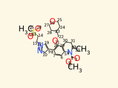 COC(=O)N1c2ccc(-c3cnn(CCS(C)(=O)=O)c3)c(OCC3CCOCC3)c2CC[C@@H]1C